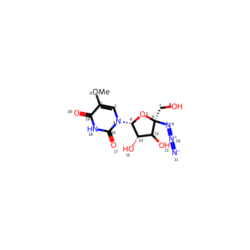 COc1cn([C@@H]2O[C@@](CO)(N=[N+]=[N-])C(O)[C@@H]2O)c(=O)[nH]c1=O